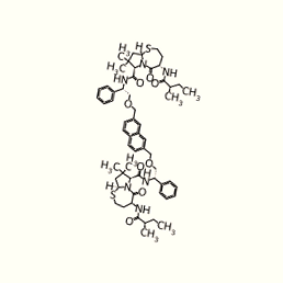 CC[C@@H](C)C(=O)N[C@H]1CCS[C@H]2CC(C)(C)[C@H](C(=O)N[C@H](COCc3ccc4ccc(COC[C@@H](NC(=O)[C@H]5N6C(=O)[C@@H](NC(=O)[C@H](C)CC)CCS[C@H]6CC5(C)C)c5ccccc5)cc4c3)c3ccccc3)N2C1=O